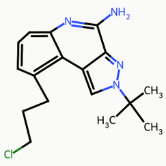 CC(C)(C)n1cc2c(n1)c(N)nc1cccc(CCCCl)c12